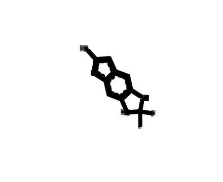 FC1(F)Nc2cc3cc(S)oc3cc2N1